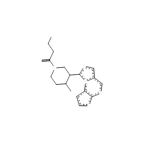 CC1CCN(C(=O)CCC(F)(F)F)CC1c1ncc2cnc3[nH]ccc3n12